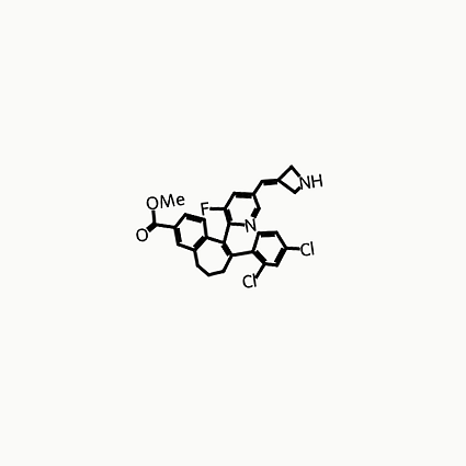 COC(=O)c1ccc2c(c1)CCCC(c1ccc(Cl)cc1Cl)=C2c1ncc(C=C2CNC2)cc1F